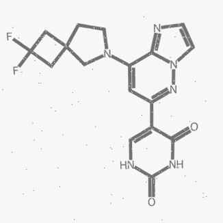 O=c1[nH]cc(-c2cc(N3CCC4(C3)CC(F)(F)C4)c3nccn3n2)c(=O)[nH]1